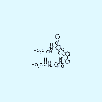 O=C(O)C[C@H](O)CNCc1ccc(NC(=O)c2cccc(-c3cccc4c3CC[C@@H]4Oc3nc(OCc4ccccc4)c(CNC[C@@H](O)CC(=O)O)cc3Cl)c2Cl)nc1